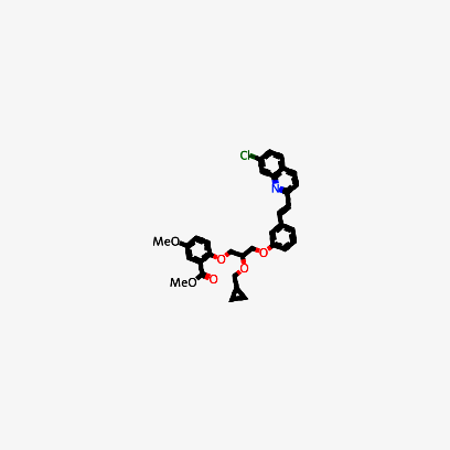 COC(=O)c1cc(OC)ccc1OCC(COc1cccc(C=Cc2ccc3ccc(Cl)cc3n2)c1)OCC1CC1